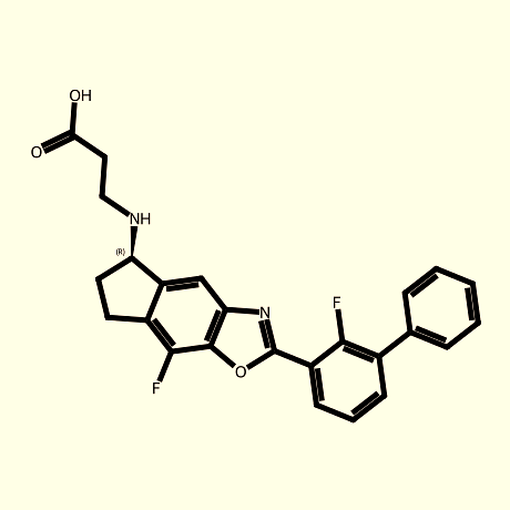 O=C(O)CCN[C@@H]1CCc2c1cc1nc(-c3cccc(-c4ccccc4)c3F)oc1c2F